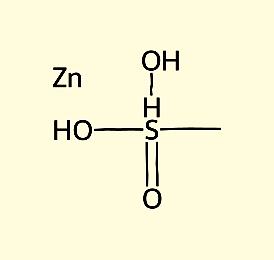 C[SH](=O)(O)O.[Zn]